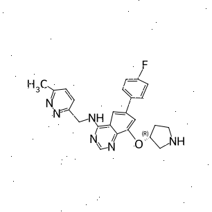 Cc1ccc(CNc2ncnc3c(O[C@@H]4CCNC4)cc(-c4ccc(F)cc4)cc23)nn1